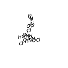 O=C(Nc1c(O)cc(Cl)cc1C(=O)Nc1ccc(Cl)cn1)c1ccc(-c2cccn(CCN3CCOCC3)c2=O)cc1